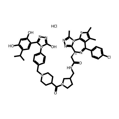 Cc1sc2c(c1C)C(c1ccc(Cl)cc1)=N[C@@H](CC(=O)NCC1CCN(C(=O)C3CCN(Cc4ccc(-n5c(O)nnc5-c5cc(C(C)C)c(O)cc5O)cc4)CC3)C1)c1nnc(C)n1-2.Cl